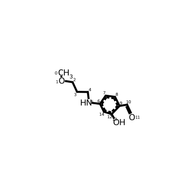 COCCCNc1ccc(C=O)c(O)c1